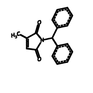 CC1=CC(=O)N(C(c2ccccc2)c2ccccc2)C1=O